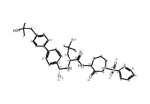 CC(C)(O)Cc1ccc(-c2ccc([C@H](N[C@@H](CC(C)(C)F)C(=O)NC3CCCN(S(=O)(=O)c4ccccn4)CC3=O)C(F)(F)F)cc2)cc1